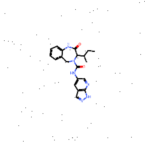 CCC(C)C1C(=O)Nc2ccccc2CN1C(=O)Nc1cnc2[nH]ncc2c1